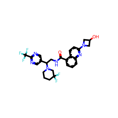 O=C(NCC(c1cnc(C(F)(F)F)nc1)N1CCCC(F)(F)C1)c1cccc2nc(N3CC(O)C3)ccc12